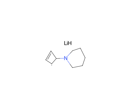 [CH]1C=CC1N1CCCCC1.[LiH]